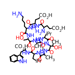 CC(C)CC(NC(=O)C(C)NC(=O)C(NC(=O)C(NC(=O)C(C)NC(=O)C(CO)NC(=O)C(CCCCN)NC(=O)C(CCC(=O)O)NC(=O)C(N)CCC(=O)O)C(C)C)C(C)O)C(=O)NC(Cc1c[nH]c2ccccc12)C(=O)O